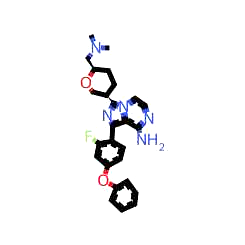 CN(C)C[C@H]1CC[C@H](c2nc(-c3ccc(Oc4ccccc4)cc3F)c3c(N)nccn23)CO1